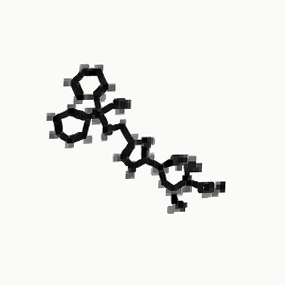 CC(C)[C@@H](C[C@H](O)c1nc(CO[Si](c2ccccc2)(c2ccccc2)C(C)(C)C)cs1)N(C(=O)O)C(C)(C)C